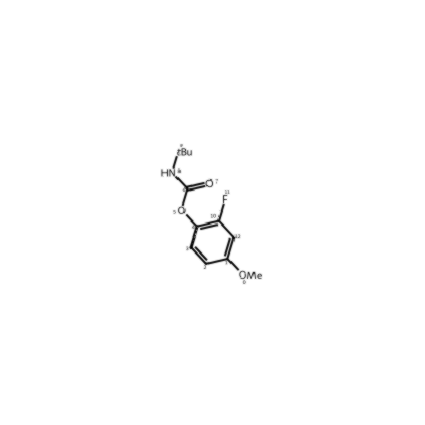 COc1ccc(OC(=O)NC(C)(C)C)c(F)c1